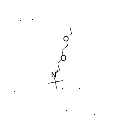 CCOCCOC/C=N/C(C)(C)C